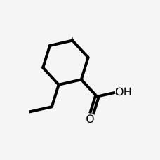 CCC1CC[CH]CC1C(=O)O